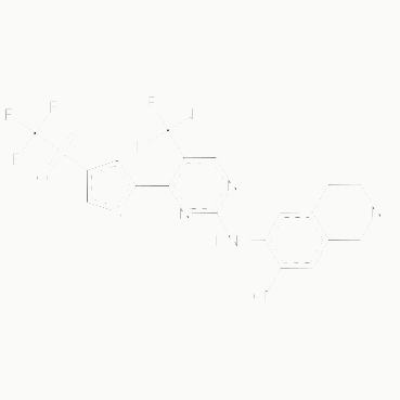 O=S(=O)(c1csc(-c2nc(Nc3cc4c(cc3Cl)CNCC4)ncc2C(F)(F)F)c1)C(F)(F)F